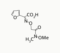 CON(C)C(=O)CO/N=C(\C(=O)O)c1ccco1